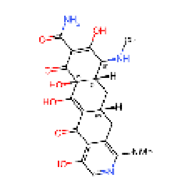 CNc1ncc(O)c2c1C[C@H]1C[C@H]3[C@H](NC(C)C)C(O)=C(C(N)=O)C(=O)[C@@]3(O)C(O)=C1C2=O